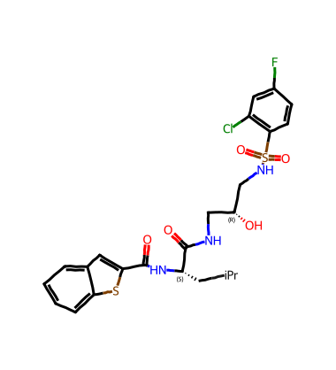 CC(C)C[C@H](NC(=O)c1cc2ccccc2s1)C(=O)NC[C@@H](O)CNS(=O)(=O)c1ccc(F)cc1Cl